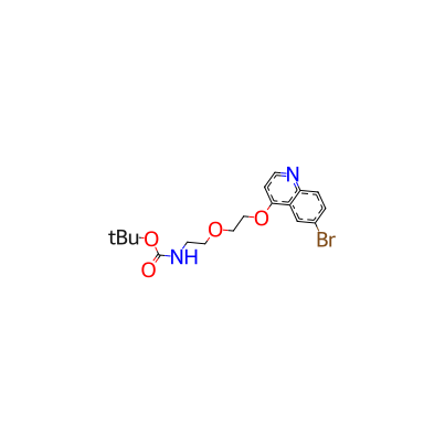 CC(C)(C)OC(=O)NCCOCCOc1ccnc2ccc(Br)cc12